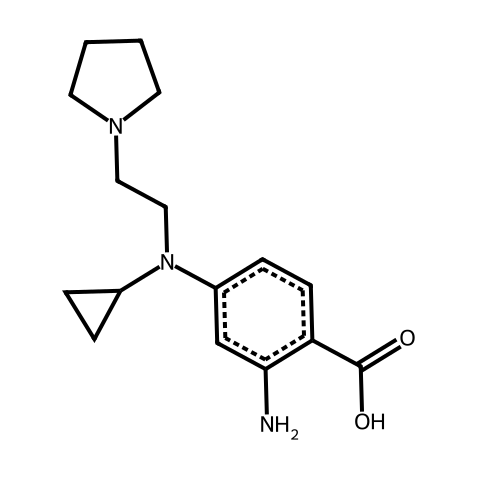 Nc1cc(N(CCN2CCCC2)C2CC2)ccc1C(=O)O